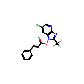 O=C(/C=C/c1ccccc1)On1c(C(F)(F)F)nc2ncc(Cl)cc21